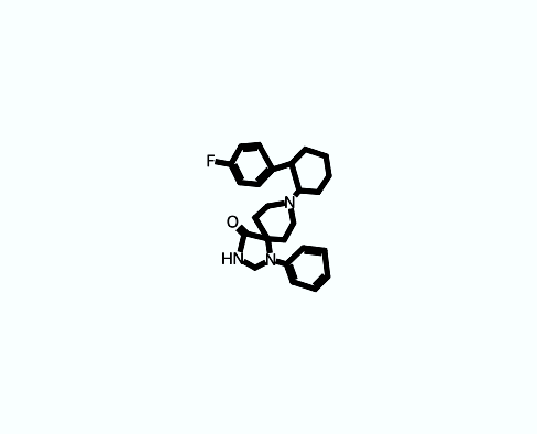 O=C1NCN(c2ccccc2)C12CCN(C1CCCCC1c1ccc(F)cc1)CC2